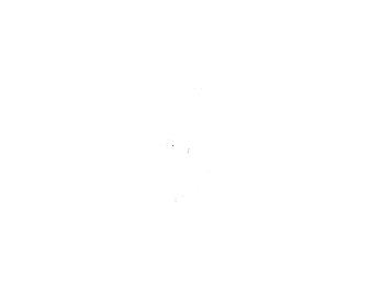 CCCCCOCCC.N